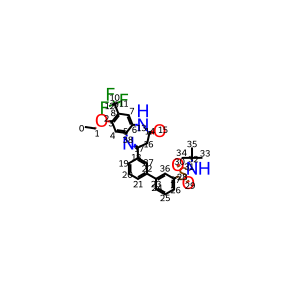 CCOc1cc2c(cc1C(F)(F)F)NC(=O)CC(c1cccc(-c3cccc(S(=O)(=O)NC(C)(C)C)c3)c1)=N2